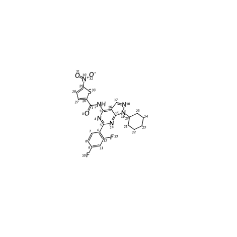 O=C(Nc1nc(-c2ccc(F)cc2F)nc2c1cnn2C1CCCCC1)c1ccc([N+](=O)[O-])s1